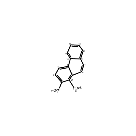 CCCCCCCCc1ccc2c(ccc3ccccc32)c1CCCCCCCC